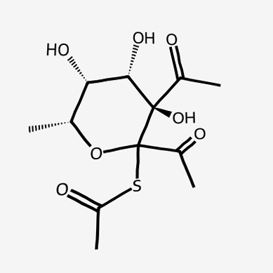 CC(=O)SC1(C(C)=O)O[C@H](C)[C@H](O)[C@H](O)[C@]1(O)C(C)=O